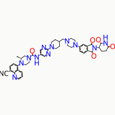 C[C@H]1CN(C(=O)Nc2cnc(N3CCC(CN4CCN(c5ccc6c(c5)C(=O)N(C5CCC(=O)NC5=O)C6=O)CC4)CC3)nc2)CCN1c1ccc(C#N)c2ncccc12